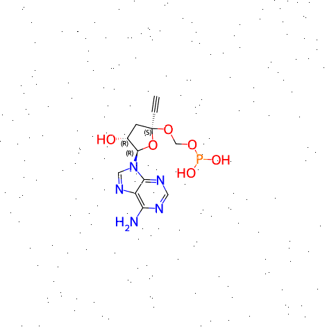 C#C[C@@]1(OCOP(O)O)C[C@@H](O)[C@H](n2cnc3c(N)ncnc32)O1